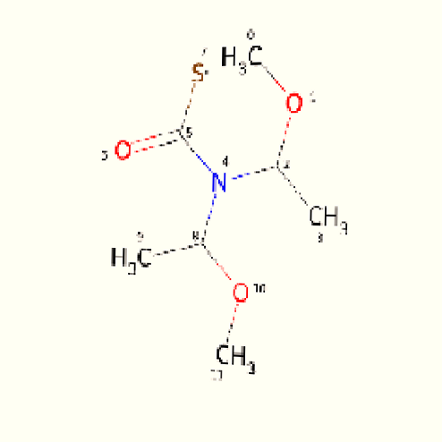 COC(C)N(C(=O)[S])C(C)OC